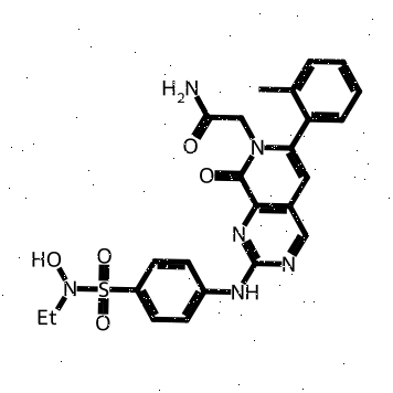 CCN(O)S(=O)(=O)c1ccc(Nc2ncc3cc(-c4ccccc4C)n(CC(N)=O)c(=O)c3n2)cc1